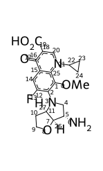 COc1c(N2C[C@H](N)[C@H]3OCC[C@H]32)c(F)cc2c(=O)c(C(=O)O)cn(C3CC3)c12